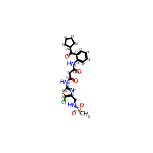 CS(=O)(=O)NCc1nc(NC(=O)CC(=O)Nc2ccccc2C(=O)C2CCCC2)sc1Cl